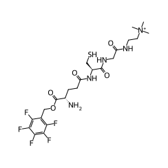 C[N+](C)(C)CCNC(=O)CNC(=O)[C@H](CS)NC(=O)CC[C@H](N)C(=O)OCc1c(F)c(F)c(F)c(F)c1F